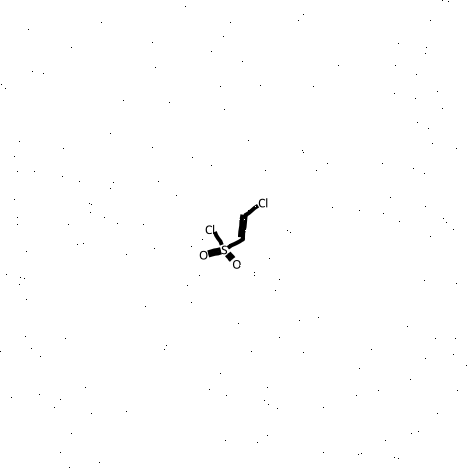 O=S(=O)(Cl)C=CCl